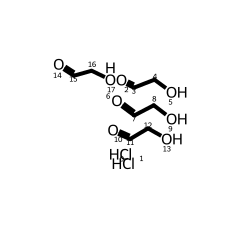 Cl.Cl.O=CCO.O=CCO.O=CCO.O=CCO